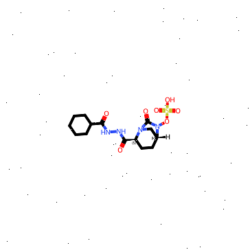 O=C(NNC(=O)[C@@H]1CC[C@@H]2CN1C(=O)N2OS(=O)(=O)O)C1CCCCC1